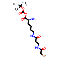 CC(C)(C)OC(=O)OC(=O)[C@@H](N)CCCCNC(=O)CCNC(=O)CBr